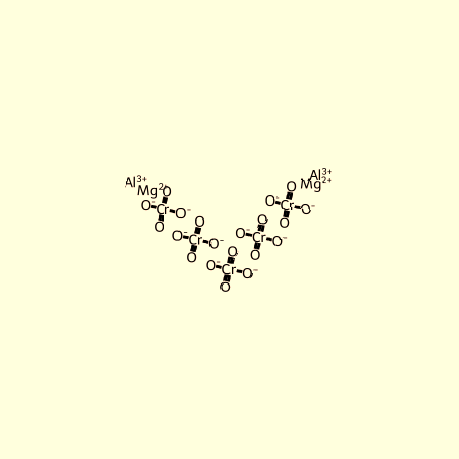 [Al+3].[Al+3].[Mg+2].[Mg+2].[O]=[Cr](=[O])([O-])[O-].[O]=[Cr](=[O])([O-])[O-].[O]=[Cr](=[O])([O-])[O-].[O]=[Cr](=[O])([O-])[O-].[O]=[Cr](=[O])([O-])[O-]